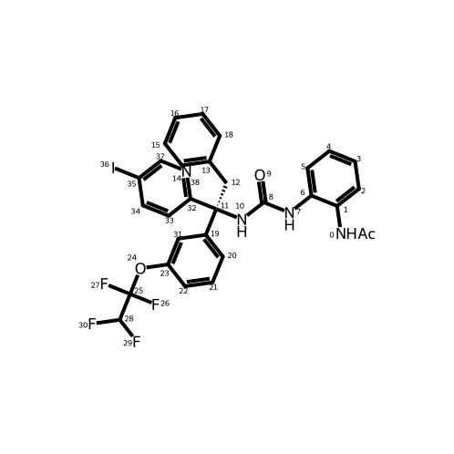 CC(=O)Nc1ccccc1NC(=O)N[C@@](Cc1ccccc1)(c1cccc(OC(F)(F)C(F)F)c1)c1ccc(I)cn1